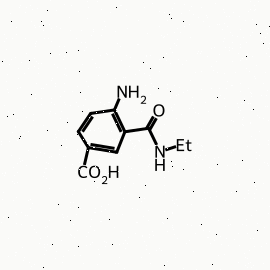 CCNC(=O)c1cc(C(=O)O)ccc1N